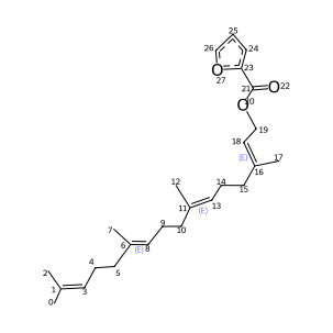 CC(C)=CCC/C(C)=C/CC/C(C)=C/CC/C(C)=C/COC(=O)c1ccco1